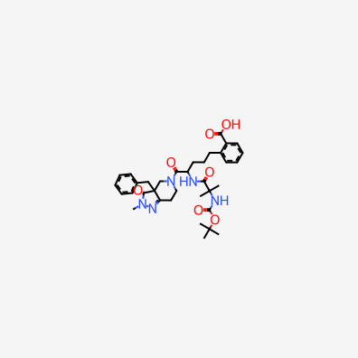 CN1N=C2CCN(C(=O)C(CCCc3ccccc3C(=O)O)NC(=O)C(C)(C)NC(=O)OC(C)(C)C)CC2(Cc2ccccc2)C1=O